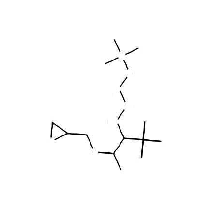 CC(OCC1CO1)C([SiH2]O[SiH2]O[Si](C)(C)C)C(C)(C)C